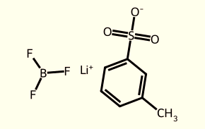 Cc1cccc(S(=O)(=O)[O-])c1.FB(F)F.[Li+]